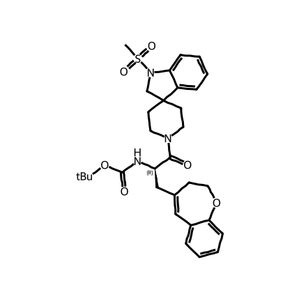 CC(C)(C)OC(=O)N[C@H](CC1=Cc2ccccc2OCC1)C(=O)N1CCC2(CC1)CN(S(C)(=O)=O)c1ccccc12